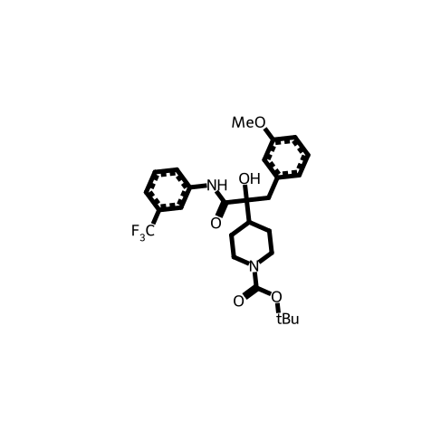 COc1cccc(CC(O)(C(=O)Nc2cccc(C(F)(F)F)c2)C2CCN(C(=O)OC(C)(C)C)CC2)c1